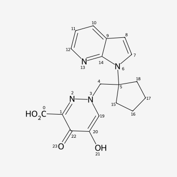 O=C(O)c1nn(CC2(n3ccc4cccnc43)CCCC2)cc(O)c1=O